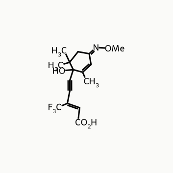 CON=C1C=C(C)C(O)(C#CC(=CC(=O)O)C(F)(F)F)C(C)(C)C1